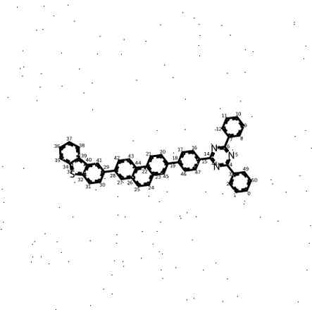 c1ccc(-c2nc(-c3ccccc3)nc(-c3ccc(-c4ccc5c(ccc6cc(-c7ccc8sc9ccccc9c8c7)ccc65)c4)cc3)n2)cc1